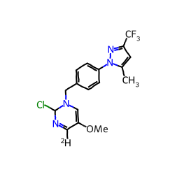 [2H]C1=NC(Cl)N(Cc2ccc(-n3nc(C(F)(F)F)cc3C)cc2)C=C1OC